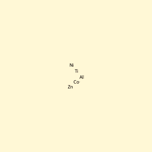 [Al].[Co].[Ni].[Ti].[Zn]